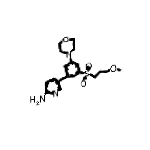 COCCCS(=O)(=O)c1cc(-c2ccc(N)nc2)cc(N2CCOCC2)c1